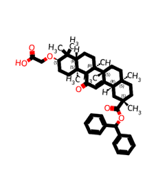 CC1(C)[C@@H](OCC(=O)O)CC[C@]2(C)C3C(=O)C=C4[C@@H]5C[C@@](C)(C(=O)OC(c6ccccc6)c6ccccc6)CC[C@]5(C)CC[C@@]4(C)[C@]3(C)CC[C@@H]12